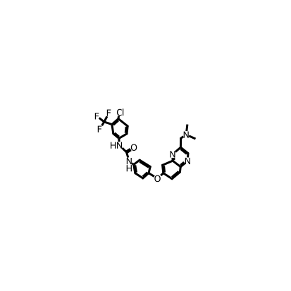 CN(C)Cc1cnc2ccc(Oc3ccc(NC(=O)Nc4ccc(Cl)c(C(F)(F)F)c4)cc3)cc2n1